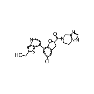 O=C(C1Cc2cc(Cl)cc(-c3ccnc4cc(CO)sc34)c2O1)N1CCn2ncnc2C1